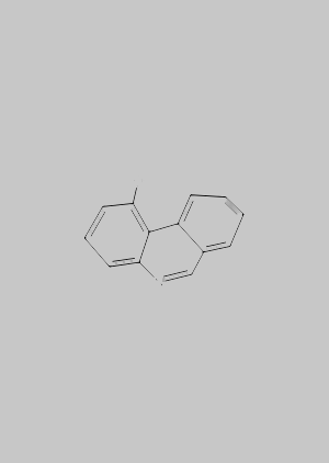 [O]c1cccc2ncc3ccccc3c12